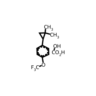 CC1(C)CC1c1ccc(OC(F)(F)F)cc1.O=C(O)O